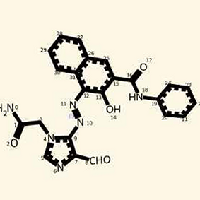 NC(=O)Cn1cnc(C=O)c1/N=N/c1c(O)c(C(=O)Nc2ccccc2)cc2ccccc12